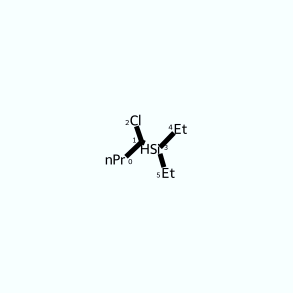 CCCC(Cl)[SiH](CC)CC